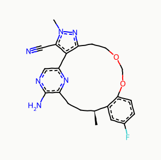 C[C@H]1CCc2nc(cnc2N)-c2c(nn(C)c2C#N)CCOCOc2ccc(F)cc21